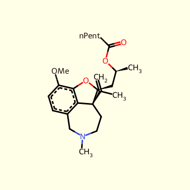 C=C(C)[C@@]12CCN(C)Cc3ccc(OC)c(c31)O[C@H]2C[C@H](C)OC(=O)CCCCC